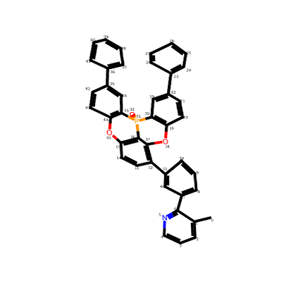 Cc1cccnc1-c1cccc(-c2ccc3c4c2Oc2ccc(-c5ccccc5)cc2P4(=O)c2cc(-c4ccccc4)ccc2O3)c1